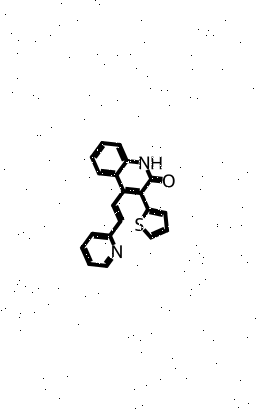 O=c1[nH]c2ccccc2c(C=Cc2ccccn2)c1-c1cccs1